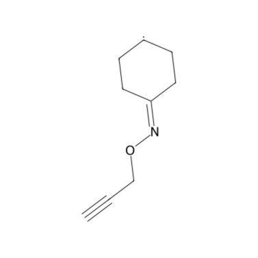 C#CCON=C1CC[CH]CC1